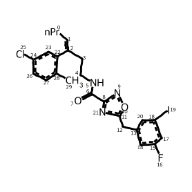 CCC/C=C(/CCNC(=O)c1noc(Cc2cc(F)cc(I)c2)n1)c1cc(Cl)ccc1C